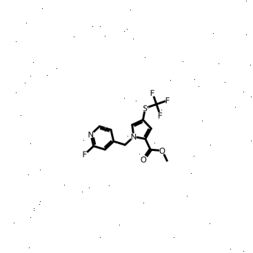 COC(=O)c1cc(SC(F)(F)F)cn1Cc1ccnc(F)c1